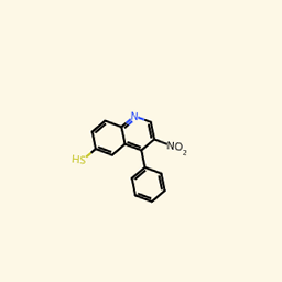 O=[N+]([O-])c1cnc2ccc(S)cc2c1-c1ccccc1